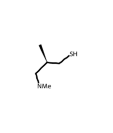 CNC[C@@H](C)CS